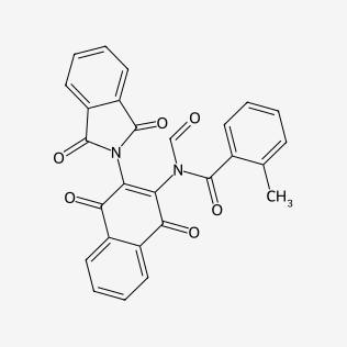 Cc1ccccc1C(=O)N(C=O)C1=C(N2C(=O)c3ccccc3C2=O)C(=O)c2ccccc2C1=O